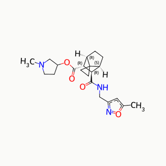 Cc1cc(CNC(=O)[C@H]2[C@H](C(=O)OC3CCN(C)C3)[C@H]3CC[C@@H]2C32CC2)no1